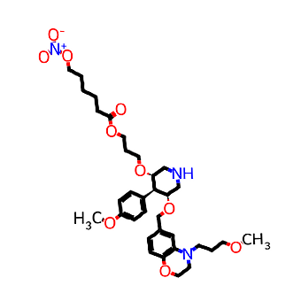 COCCCN1CCOc2ccc(CO[C@H]3CNC[C@@H](OCCCOC(=O)CCCCCO[N+](=O)[O-])[C@@H]3c3ccc(OC)cc3)cc21